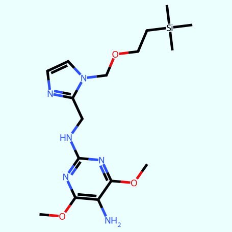 COc1nc(NCc2nccn2COCC[Si](C)(C)C)nc(OC)c1N